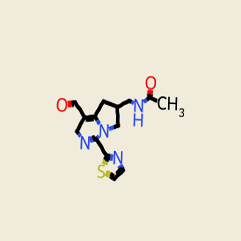 CC(=O)NCC1CC2=C(C=O)CN=C(c3nccs3)N2C1